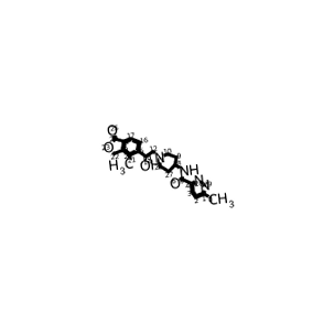 Cc1ccc(C(=O)NC2CCN(C[C@H](O)c3ccc4c(c3C)COC4=O)CC2)nn1